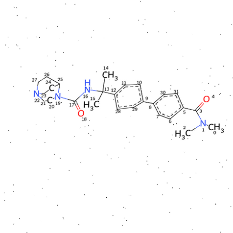 CN(C)C(=O)c1ccc(-c2ccc(C(C)(C)NC(=O)N3CCN4CCC3CC4)cc2)cc1